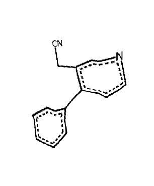 N#CCc1cnccc1-c1ccccc1